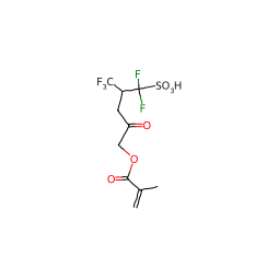 C=C(C)C(=O)OCC(=O)CC(C(F)(F)F)C(F)(F)S(=O)(=O)O